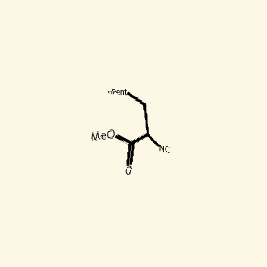 [C-]#[N+]C(CCCCCC)C(=O)OC